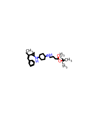 CCC(=Cc1ccccc1)C1CC1NC1CCC(NCCCC(=O)OC(C)(C)C)CC1